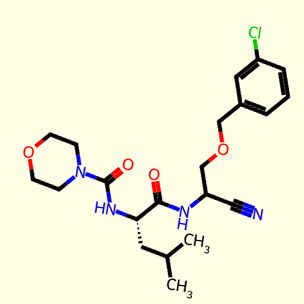 CC(C)C[C@H](NC(=O)N1CCOCC1)C(=O)NC(C#N)COCc1cccc(Cl)c1